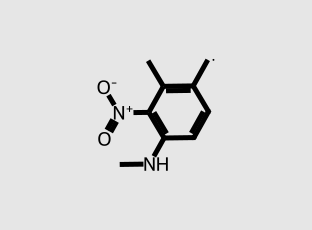 [CH2]c1ccc(NC)c([N+](=O)[O-])c1C